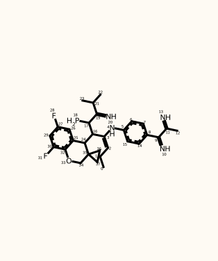 CC/C=C(/Nc1ccc(C(=N)C(C)=N)cc1)C(C(P)C(=N)C(C)C)C1c2cc(F)cc(F)c2OCC12CC2